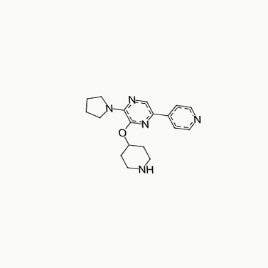 c1cc(-c2cnc(N3CCCC3)c(OC3CCNCC3)n2)ccn1